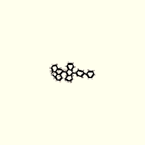 c1ccc(-c2ccc(-c3c4ccccc4c(-c4cc5cccc6sc7cccc4c7c56)c4ccccc34)cc2)cc1